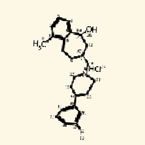 Cc1cccc2c1CC[C@H](CN1CCC(c3cccc(F)c3)CC1)C[C@@H]2O.Cl